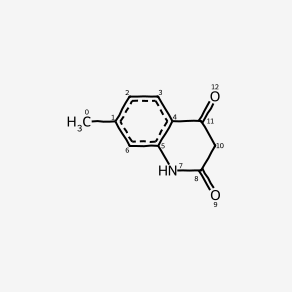 Cc1ccc2c(c1)NC(=O)CC2=O